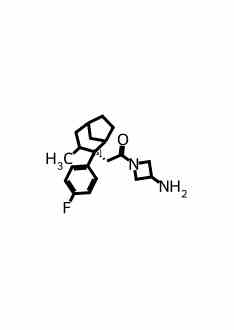 CC1CC2CCC(C2)[C@@]1(CC(=O)N1CC(N)C1)c1ccc(F)cc1